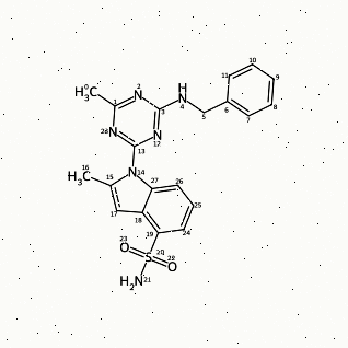 Cc1nc(NCc2ccccc2)nc(-n2c(C)cc3c(S(N)(=O)=O)cccc32)n1